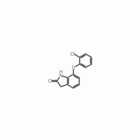 O=C1Cc2cccc(Oc3ccccc3Cl)c2N1